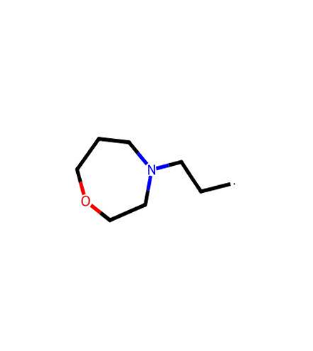 [CH2]CCN1CCCOCC1